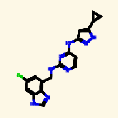 Clc1cc(CNc2nccc(Nc3cc(C4CC4)[nH]n3)n2)c2nc[nH]c2c1